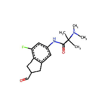 CN(C)C(C)(C)C(=O)Nc1cc(F)c2c(c1)CC(C=O)C2